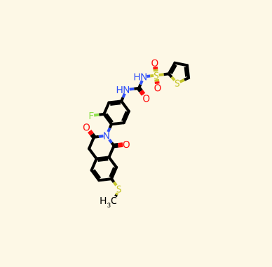 CSc1ccc2c(c1)C(=O)N(c1ccc(NC(=O)NS(=O)(=O)c3cccs3)cc1F)C(=O)C2